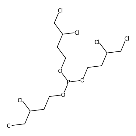 ClCC(Cl)CCOP(OCCC(Cl)CCl)OCCC(Cl)CCl